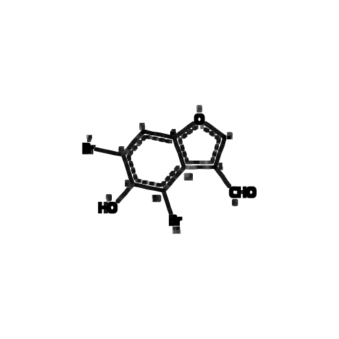 O=Cc1coc2cc(Br)c(O)c(Br)c12